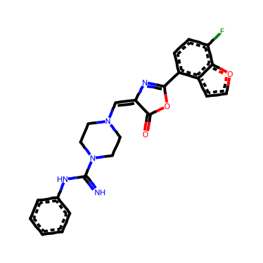 N=C(Nc1ccccc1)N1CCN(/C=C2/N=C(c3ccc(F)c4occc34)OC2=O)CC1